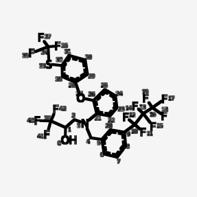 OC(CN(Cc1cccc(C(F)(F)C(F)(F)C(F)(F)F)c1)c1ccccc1Oc1cccc(SC(F)(F)F)c1)C(F)(F)F